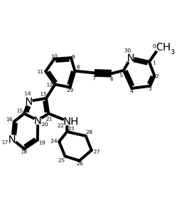 Cc1cccc(C#Cc2cccc(-c3nc4cnccn4c3NC3CCCCC3)c2)n1